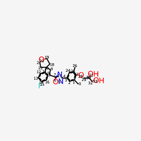 Cc1cc(-c2noc(CCC3(c4ccc(F)cc4)CCOCC3)n2)cc(C)c1OC[C@@H](O)CO